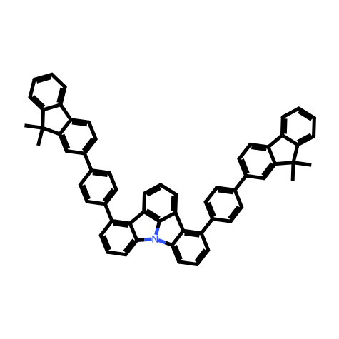 CC1(C)c2ccccc2-c2ccc(-c3ccc(-c4cccc5c4c4cccc6c7c(-c8ccc(-c9ccc%10c(c9)C(C)(C)c9ccccc9-%10)cc8)cccc7n5c46)cc3)cc21